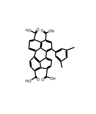 Cc1cc(C)cc(-c2cc(C(=O)O)c3c(C(=O)O)ccc4c5ccc(C(=O)O)c6c(C(=O)O)ccc(c2c34)c65)c1